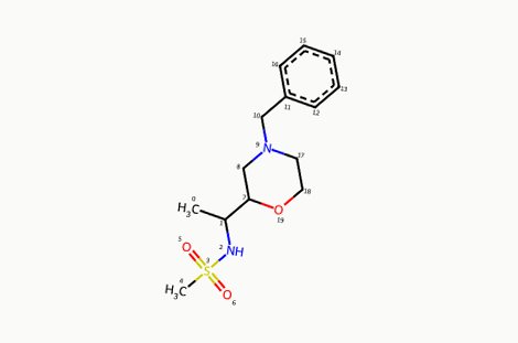 CC(NS(C)(=O)=O)C1CN(Cc2ccccc2)CCO1